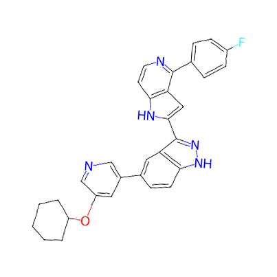 Fc1ccc(-c2nccc3[nH]c(-c4n[nH]c5ccc(-c6cncc(OC7CCCCC7)c6)cc45)cc23)cc1